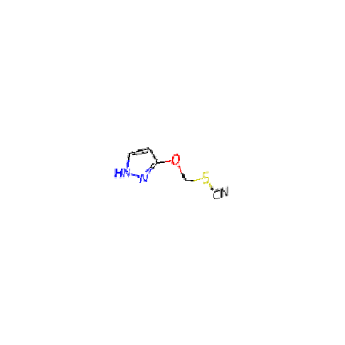 N#CSCOc1cc[nH]n1